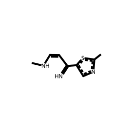 CN/C=C\C(=N)c1cnc(C)s1